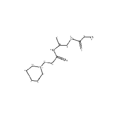 CC(C)CC(=O)OCC(C)OC(=O)CCN1CCCCC1